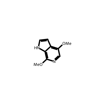 COc1cnc(OC)c2[nH]c[c]c12